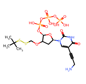 CC(C)(C)SSCOC1C[C@H](n2cc(C#CCN)c(=O)[nH]c2=O)O[C@@H]1OP(=O)(O)OP(=O)(O)OP(=O)(O)O